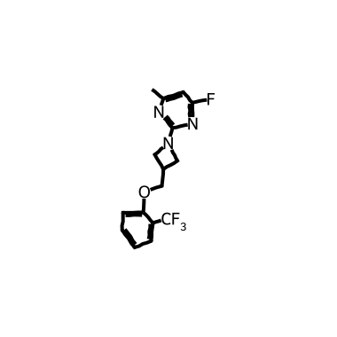 Cc1cc(F)nc(N2CC(COc3ccccc3C(F)(F)F)C2)n1